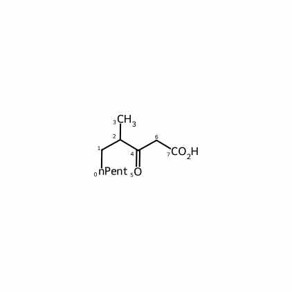 CCCCCCC(C)C(=O)CC(=O)O